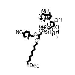 CCCCCCCCCCCCCCCCCCOCC(COP(=O)(O)OC[C@@]1(C)O[C@@H](c2ccc3c(N)ncnn23)[C@H](O)[C@@H]1O)OCc1ccc(C#N)cn1